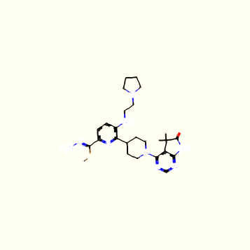 CCS/C(=N\N)c1ccc(NCCN2CCCC2)c(C2CCN(c3ncnc4c3C(C)(C)C(=O)N4)CC2)n1